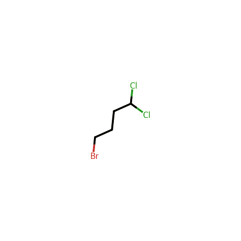 ClC(Cl)CCCBr